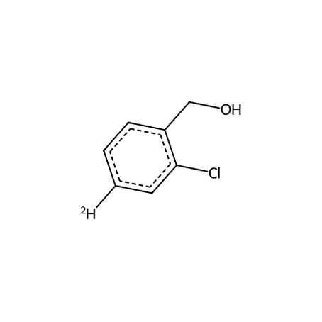 [2H]c1ccc(CO)c(Cl)c1